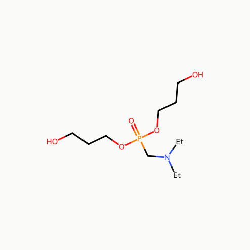 CCN(CC)CP(=O)(OCCCO)OCCCO